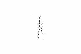 CCCCCCCCCCCCCCCCCCCCCCCCC(=O)O.CCCCCCCCCCCCCCCCO